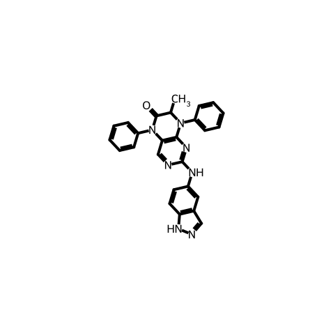 CC1C(=O)N(c2ccccc2)c2cnc(Nc3ccc4[nH]ncc4c3)nc2N1c1ccccc1